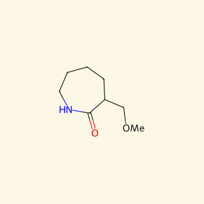 COCC1CCCCNC1=O